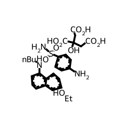 CCCCNc1cccc2ccccc12.CCO.Nc1ccc(S(N)(=O)=O)cc1.O=C(O)CC(O)(CC(=O)O)C(=O)O